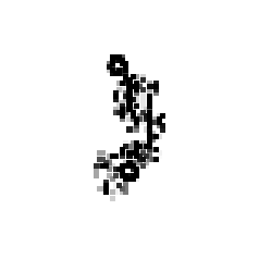 CNC(C(=O)NC(C(=O)N(C)C(C=C(C)C(=O)NS(=O)(=O)c1ccc(N)c(OC(F)(F)F)c1)C(C)C)C(C)(C)C)C(C)(C)c1ccccc1